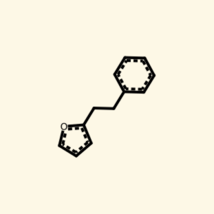 c1ccc(CCc2ccco2)cc1